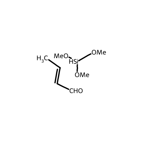 CC=CC=O.CO[SiH](OC)OC